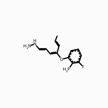 C/C=C/C(=C\C=C\NN)Oc1cccc(F)c1P